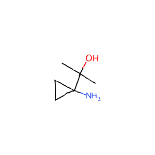 CC(C)(O)C1(N)CC1